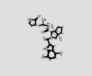 N#C[C@H](C[C@@H]1CCNC1=O)NC(=O)[C@@H]1[C@H]2CCC[C@H]2CN1C(=O)c1cc2c(Cl)ccc(Cl)c2[nH]1